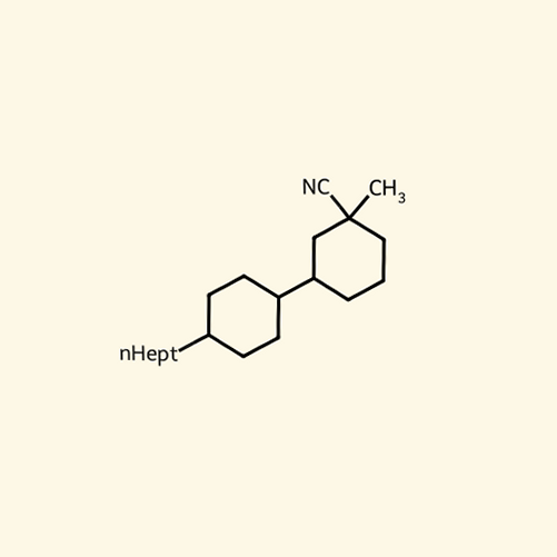 CCCCCCCC1CCC(C2CCCC(C)(C#N)C2)CC1